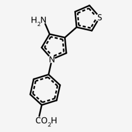 Nc1cn(-c2ccc(C(=O)O)cc2)cc1-c1ccsc1